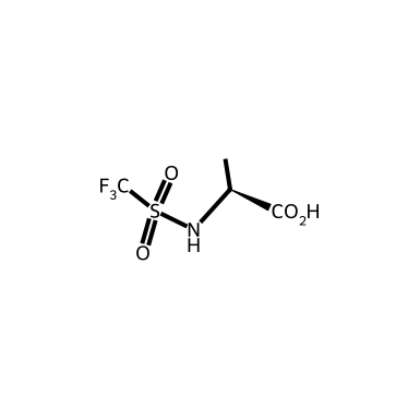 C[C@H](NS(=O)(=O)C(F)(F)F)C(=O)O